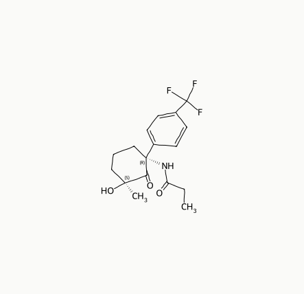 CCC(=O)N[C@@]1(c2ccc(C(F)(F)F)cc2)CCC[C@](C)(O)C1=O